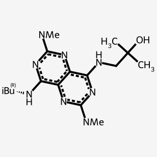 CC[C@@H](C)Nc1nc(NC)nc2c(NCC(C)(C)O)nc(NC)nc12